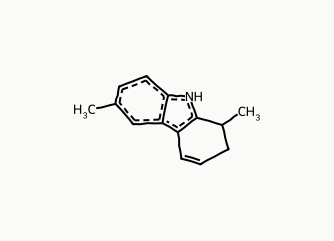 Cc1ccc2[nH]c3c(c2c1)C=CCC3C